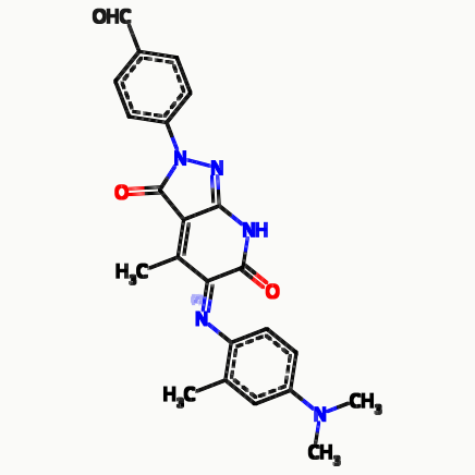 CC1=C2C(=O)N(c3ccc(C=O)cc3)N=C2NC(=O)/C1=N\c1ccc(N(C)C)cc1C